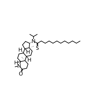 CCCCCCCCCCCC(=S)N(C(C)C)[C@H]1CC[C@H]2[C@@H]3CC[C@H]4N(C)C(=O)CC[C@]4(C)[C@H]3CC[C@]12C